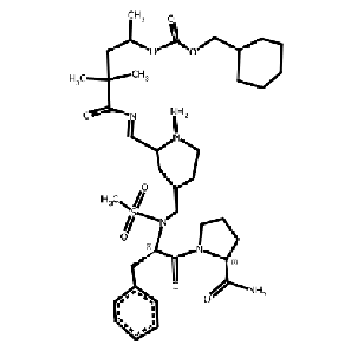 CC(CC(C)(C)C(=O)N=CC1CC(CN([C@H](Cc2ccccc2)C(=O)N2CCC[C@H]2C(N)=O)S(C)(=O)=O)CCN1N)OC(=O)OCC1CCCCC1